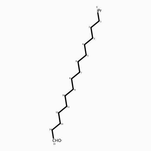 CC(C)CCCCCCCCCCCCCC[C]=O